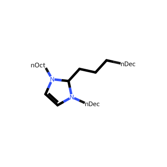 CCCCCCCCCCCCCC1N(CCCCCCCC)C=CN1CCCCCCCCCC